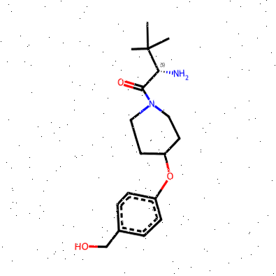 CC(C)(C)[C@H](N)C(=O)N1CCC(Oc2ccc(CO)cc2)CC1